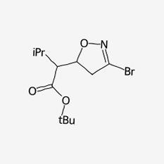 CC(C)C(C(=O)OC(C)(C)C)C1CC(Br)=NO1